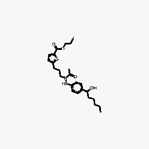 CCCCCC(O)c1ccc(NN(CCCc2ccc(C(=O)OCCI)s2)C(C)=O)cc1